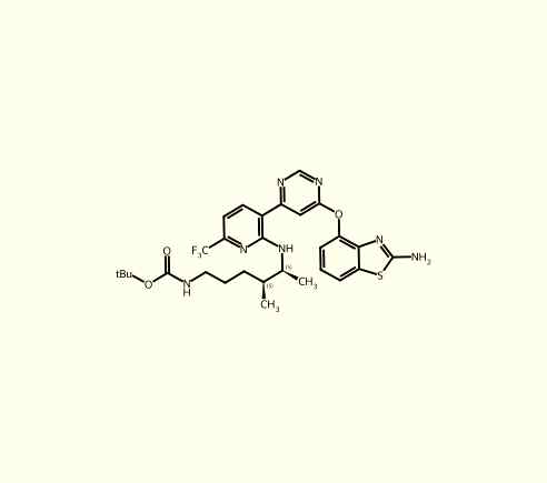 C[C@H](Nc1nc(C(F)(F)F)ccc1-c1cc(Oc2cccc3sc(N)nc23)ncn1)[C@@H](C)CCCNC(=O)OC(C)(C)C